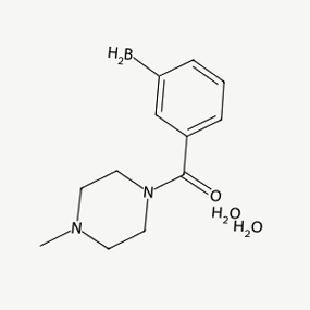 Bc1cccc(C(=O)N2CCN(C)CC2)c1.O.O